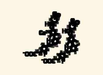 Cc1ccc(CNc2ccc(CCC(=O)[O-])c(F)c2)cc1-c1c(C)cc(OCC2(O)CCS(=O)(=O)CC2)cc1C.Cc1ccc(CNc2ccc(CCC(=O)[O-])c(F)c2)cc1-c1c(C)cc(OCC2(O)CCS(=O)(=O)CC2)cc1C.[Ca+2]